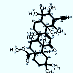 COC(=O)[C@]12CCC(C)(C)C[C@H]1[C@H]1C(=O)C=C3[C@@]4(C)C(C)=C(C#N)C(O)C(C)(C)C4CC[C@@]3(C)[C@]1(C)CC2